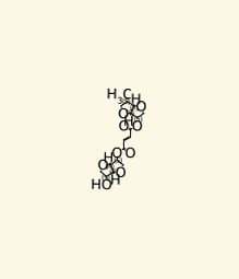 C[C@H]1CO[C@H]2[C@@H]1OC[C@@H]2OC(=O)C=CC(=O)O[C@H]1CO[C@H]2[C@@H]1OC[C@@H]2O